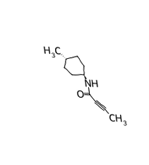 CC#CC(=O)N[C@H]1CC[C@H](C)CC1